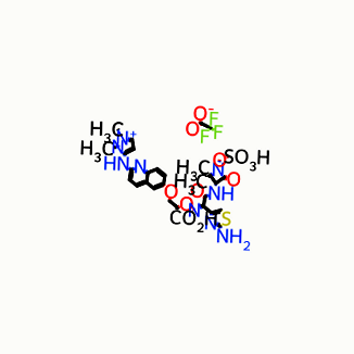 Cn1c(Nc2ccc3cc(OCC(O/N=C(\C(=O)N[C@@H]4C(=O)N(OS(=O)(=O)O)C4(C)C)c4csc(N)n4)C(=O)O)ccc3n2)cc[n+]1C.O=C([O-])C(F)(F)F